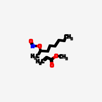 C=CC(=O)OC.CCCCCCC(C)ON=O